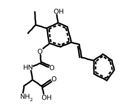 CC(C)c1c(O)cc(/C=C/c2ccccc2)cc1OC(=O)NC(CN)C(=O)O